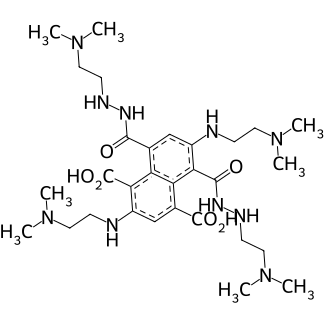 CN(C)CCNNC(=O)c1cc(NCCN(C)C)c(C(=O)NNCCN(C)C)c2c(C(=O)O)cc(NCCN(C)C)c(C(=O)O)c12